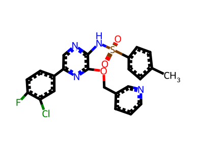 Cc1ccc(S(=O)(=O)Nc2ncc(-c3ccc(F)c(Cl)c3)nc2OCc2cccnc2)cc1